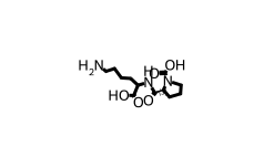 NCCCCC(NC(=O)[C@@H]1CCCN1C(=O)O)C(=O)O